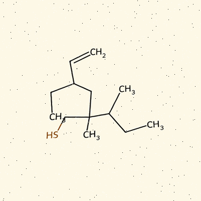 C=CC(CC)CC(C)(CS)C(C)CC